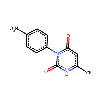 O=c1cc(C(F)(F)F)[nH]c(=O)n1-c1ccc([N+](=O)[O-])cc1